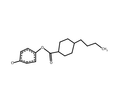 CCCCC1CCC(C(=O)Oc2ccc(Cl)cc2)CC1